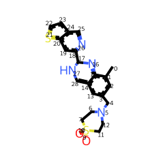 Cc1cc(CN2CCS(=O)(=O)CC2)cc2c1=NC(c1cc3sccc3cn1)NC=2